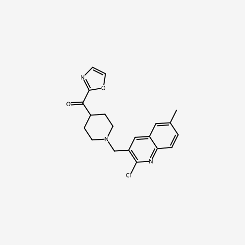 Cc1ccc2nc(Cl)c(CN3CCC(C(=O)c4ncco4)CC3)cc2c1